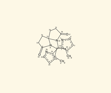 CCC(c1ccon1)N1C(=O)CCC12CCC(=O)N2C(CC)c1ccon1